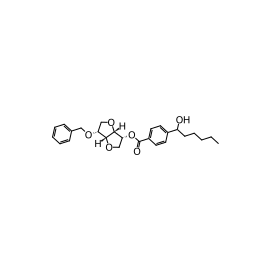 CCCCCC(O)c1ccc(C(=O)O[C@@H]2CO[C@H]3[C@@H]2OC[C@H]3OCc2ccccc2)cc1